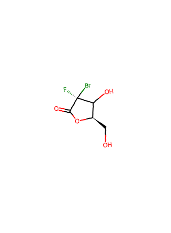 O=C1O[C@H](CO)C(O)[C@]1(F)Br